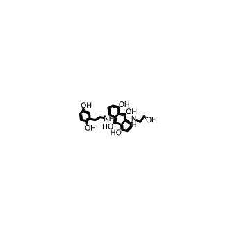 OCCNc1ccc(O)c2c(O)c3c(NCCc4cc(O)ccc4O)ccc(O)c3c(O)c12